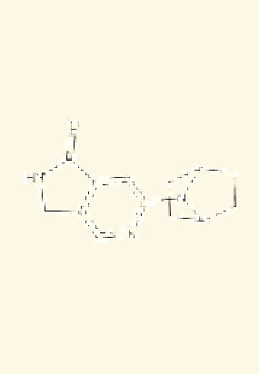 O=C1NCc2cnc(N3C4CCC3CC4)cc21